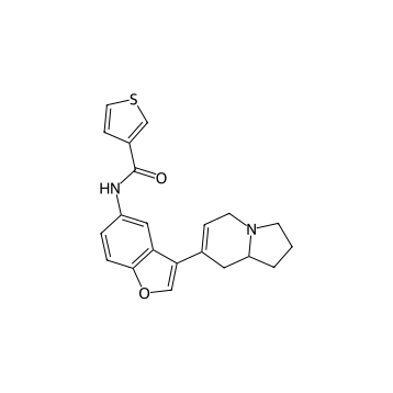 O=C(Nc1ccc2occ(C3=CCN4CCCC4C3)c2c1)c1ccsc1